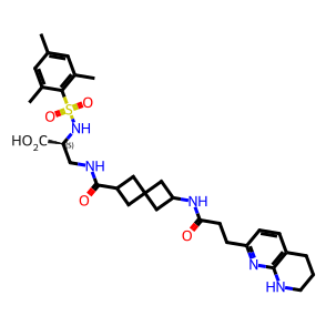 Cc1cc(C)c(S(=O)(=O)N[C@@H](CNC(=O)C2CC3(CC(NC(=O)CCc4ccc5c(n4)NCCC5)C3)C2)C(=O)O)c(C)c1